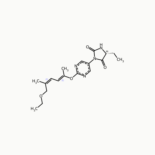 CCOC/C(C)=C\C=C(/C)Oc1ncc(N2C(=O)N[C@H](CC)C2=O)cn1